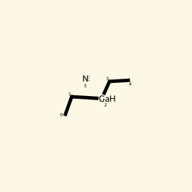 C[CH2][GaH][CH2]C.[N]